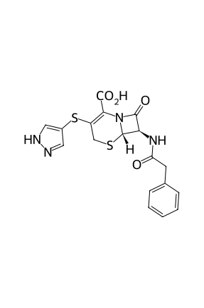 O=C(Cc1ccccc1)N[C@@H]1C(=O)N2C(C(=O)O)=C(Sc3cn[nH]c3)CS[C@@H]12